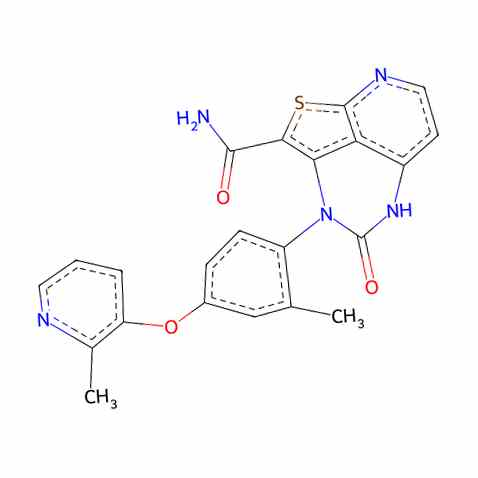 Cc1cc(Oc2cccnc2C)ccc1N1C(=O)Nc2ccnc3sc(C(N)=O)c1c23